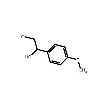 COc1ccc(C(O)CCl)cc1